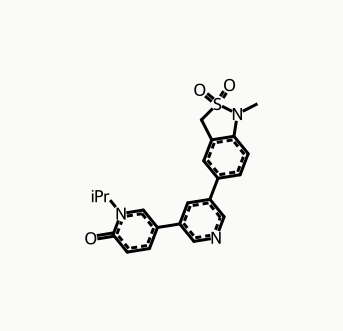 CC(C)n1cc(-c2cncc(-c3ccc4c(c3)CS(=O)(=O)N4C)c2)ccc1=O